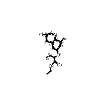 CCOC(=O)C(Oc1cc(C)c2ncc(Cl)cc2c1)SC